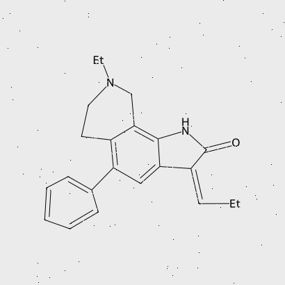 CC/C=C1\C(=O)Nc2c1cc(-c1ccccc1)c1c2CN(CC)CC1